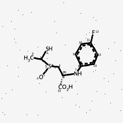 CC(S)[S+]([O-])C[C@H](Nc1ccc(F)cc1)C(=O)O